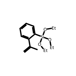 C=C(C)c1ccccc1[Si](OCC)(OCC)OCC